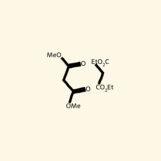 CCOC(=O)CC(=O)OCC.COC(=O)CC(=O)OC